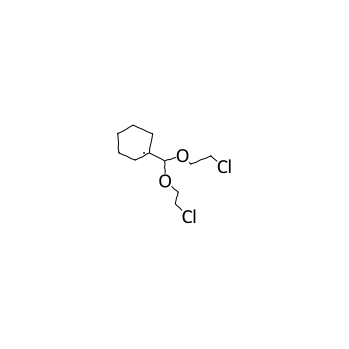 ClCCOC(OCCCl)[C]1CCCCC1